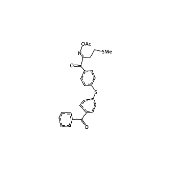 CSCC/C(=N\OC(C)=O)C(=O)c1ccc(Sc2ccc(C(=O)c3ccccc3)cc2)cc1